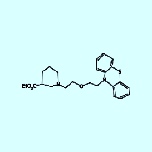 CCOC(=O)C1CCCN(CCOCCN2c3ccccc3Sc3ccccc32)C1